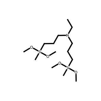 CCN(CCC[Si](C)(OC)OC)CCC[Si](C)(OC)OC